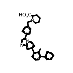 Cc1c(-c2ccccc2)cccc1-c1ccn2c(-c3ccc(CN4CCCCC4C(=O)O)cc3)cnc2c1